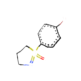 O=S1(c2ccc(Br)cc2)=NCCC1